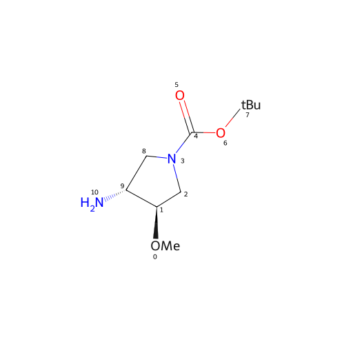 CO[C@@H]1CN(C(=O)OC(C)(C)C)C[C@H]1N